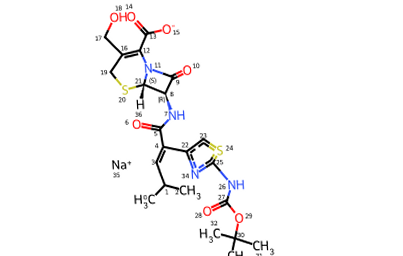 CC(C)C=C(C(=O)N[C@@H]1C(=O)N2C(C(=O)[O-])=C(CO)CS[C@@H]12)c1csc(NC(=O)OC(C)(C)C)n1.[Na+]